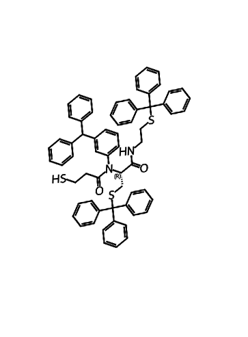 O=C(NCCSC(c1ccccc1)(c1ccccc1)c1ccccc1)[C@H](CSC(c1ccccc1)(c1ccccc1)c1ccccc1)N(C(=O)CCS)c1cccc(C(c2ccccc2)c2ccccc2)c1